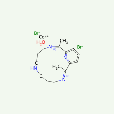 C/C1=N/CCCNCCC/N=C(\C)c2cccc1n2.O.[Br-].[Br-].[Co+2]